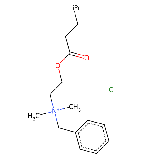 CC(C)CCC(=O)OCC[N+](C)(C)Cc1ccccc1.[Cl-]